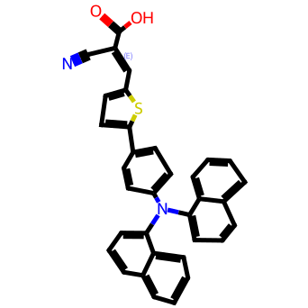 N#C/C(=C\c1ccc(-c2ccc(N(c3cccc4ccccc34)c3cccc4ccccc34)cc2)s1)C(=O)O